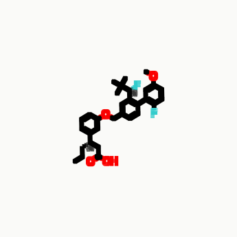 CCC[C@@H](CC(=O)O)c1cccc(OCc2ccc(-c3cc(OC)ccc3F)c([C@@H](F)C(C)(C)C)c2)c1